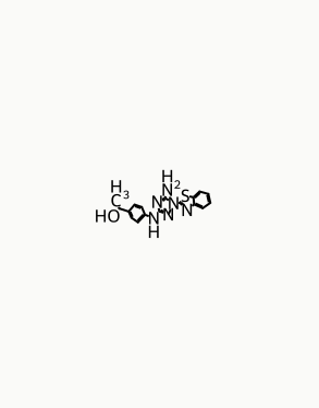 CC(O)c1ccc(Nc2nc(N)n(-c3nc4ccccc4s3)n2)cc1